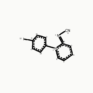 N#C/N=c1\ccccn1-c1ccc(I)cc1